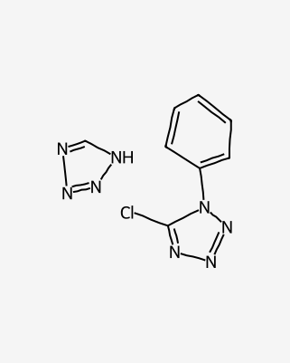 Clc1nnnn1-c1ccccc1.c1nnn[nH]1